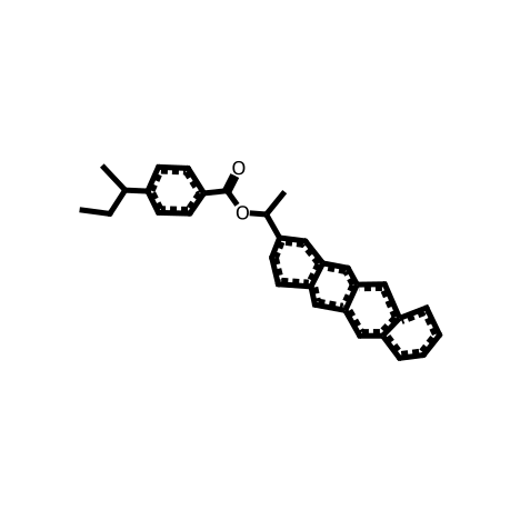 CCC(C)c1ccc(C(=O)OC(C)c2ccc3cc4cc5ccccc5cc4cc3c2)cc1